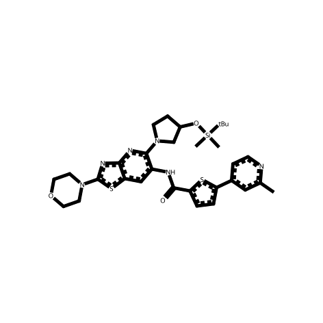 Cc1cc(-c2ccc(C(=O)Nc3cc4sc(N5CCOCC5)nc4nc3N3CCC(O[Si](C)(C)C(C)(C)C)C3)s2)ccn1